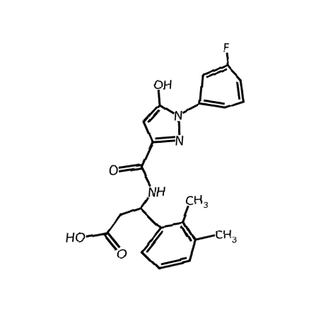 Cc1cccc(C(CC(=O)O)NC(=O)c2cc(O)n(-c3cccc(F)c3)n2)c1C